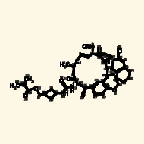 CO[C@@]12/C=C/C[C@H](C)C[S@@](=O)(NC(=O)N[C@H]3C[C@H](COC(=O)N(C)C)C3)=NC(=O)c3ccc4c(c3)N(C[C@@H]3CC1[C@H]32)C[C@@]1(CCCc2cc(Cl)ccc21)CO4